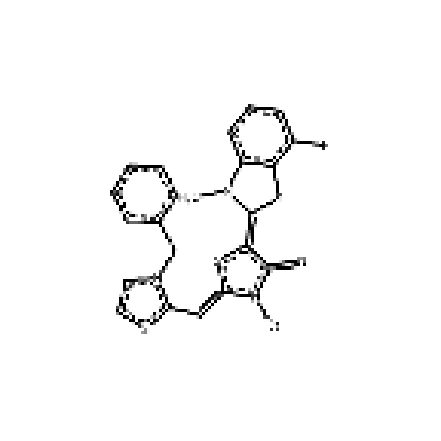 CCn1c(=O)/c(=C2\Sc3c(F)cccc3N2C)s/c1=C\c1scc[n+]1Cc1ccccc1